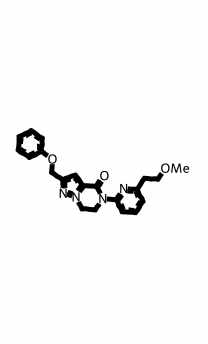 COCCc1cccc(N2CCn3nc(COc4ccccc4)cc3C2=O)n1